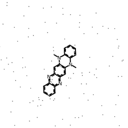 CN1c2ccccc2N(C)c2cc3nc4ccccc4nc3cc21